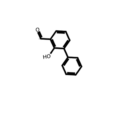 O=[C]c1cccc(-c2ccccc2)c1O